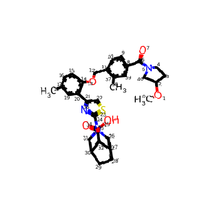 COC1CCN(C(=O)c2ccc(COc3ccc(C)cc3-c3csc(N4CC5CCC(C4)C5C(=O)O)n3)c(C)c2)C1